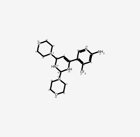 Nc1cc(C(F)(F)F)c(C2=CC(N3CCOCC3)NC(N3CCOCC3)N2)cn1